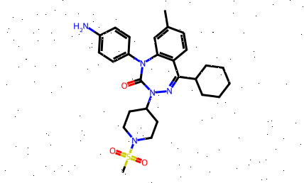 Cc1ccc2c(c1)N(c1ccc(N)cc1)C(=O)N(C1CCN(S(C)(=O)=O)CC1)N=C2C1CCCCC1